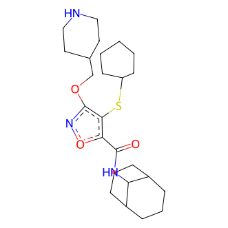 O=C(NC1C2CCCC1CCC2)c1onc(OCC2CCNCC2)c1SC1CCCCC1